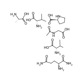 CC(=O)NCC(=O)O.CC(C)[C@H](N)C(=O)O.CC(C)[C@H](N)C(=O)O.C[C@H](N)C(=O)O.NC(=O)CC[C@H](N)C(N)=O.O=C(O)[C@@H]1CCCN1